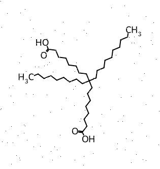 CCCCCCCCCCC(CCCCCCCCC)(CCCCCCCC(=O)O)CCCCCCCC(=O)O